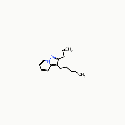 C=CCc1nn2ccccc2c1CCCCC